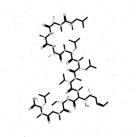 C/C=C\C[C@@H](C)[C@H](O)C(C(=O)N[C@@H](CC)C(=O)N(C)CC(=O)N(C)[C@@H](CC(C)C)C(N)=O)N(C)C(=O)[C@H](C(C)C)N(C)C(=O)[C@@H](CC(C)C)N(C)C(=O)[C@@H](CC(C)C)N(C)C(=O)[C@H](C)NC(=O)[C@@H](C)NC(=O)[C@H](C)N(C)C(=O)[C@H](C)CC(C)C